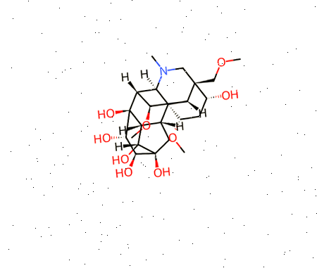 COC[C@]12CN(C)[C@@H]3[C@@H]4[C@H](OC)[C@H]1[C@@]3([C@@H](OC)C[C@H]2O)[C@@H]1C[C@@]2(O)[C@H](O)[C@@H]1[C@]4(O)[C@@H](O)[C@@H]2O